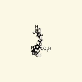 NC(=O)[C@H]1C[C@H](N2CC(Oc3ccc4c(c3C(=O)O)OB(O)[C@H]3C[C@@H]43)C2)CN1